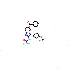 O=C(c1ccccc1)c1ccc2nc(NC(=O)C(F)(F)F)c(-c3ccc(OC(F)(F)F)cc3)n2c1